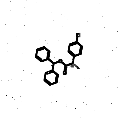 C[C@H](C(=O)OC(c1ccccc1)c1ccccc1)c1ccc(Cl)cc1